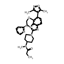 CCC(=O)N(C)C1CCN(c2nc3ccc(-c4c(C)noc4C)c4c3n2[C@@H](c2ccccn2)CO4)CC1